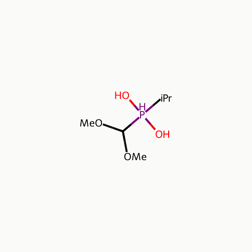 COC(OC)[PH](O)(O)C(C)C